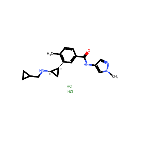 Cc1ccc(C(=O)Nc2cnn(C)c2)cc1[C@@H]1C[C@H]1NCC1CC1.Cl.Cl